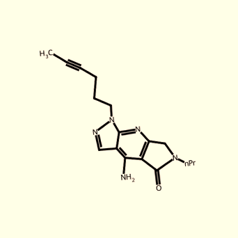 CC#CCCCn1ncc2c(N)c3c(nc21)CN(CCC)C3=O